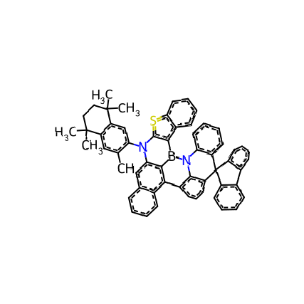 Cc1cc2c(cc1N1c3cc4ccccc4c4c3B(c3c1sc1ccccc31)N1c3ccccc3C3(c5ccccc5-c5ccccc53)c3cccc-4c31)C(C)(C)CCC2(C)C